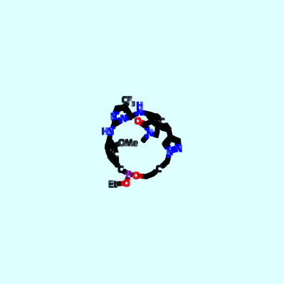 CCOP1Cc2ccc(c(OC)c2)Nc2ncc(C(F)(F)F)c(n2)Nc2ccc(c3c2C(=O)N(C)C3)-c2cnn(c2)CCCCO1